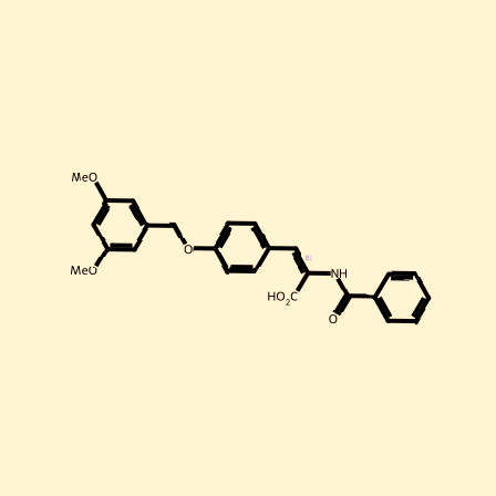 COc1cc(COc2ccc(/C=C(/NC(=O)c3ccccc3)C(=O)O)cc2)cc(OC)c1